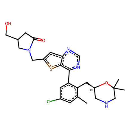 Cc1cc(Cl)cc(-c2ncnc3cc(CN4CC(CO)CC4=O)sc23)c1C[C@@H]1CNCC(C)(C)O1